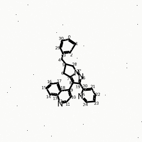 c1ccc(CC2Cc3c(-c4ccnc5ccccc45)c(-c4ccccn4)nn3C2)cc1